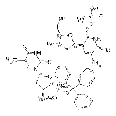 COC(OC)(OC(c1ccccc1)(c1ccccc1)c1ccccc1)[C@H]1O[C@@H](n2cc(C)c(=O)[nH]c2=O)C[C@@H]1O.CP(=O)(O)O.Cc1cn([C@H]2C[C@H](O)[C@@H](CO)O2)c(=O)[nH]c1=O